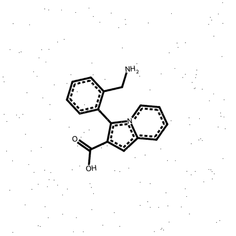 NCc1ccccc1-c1c(C(=O)O)cc2ccccn12